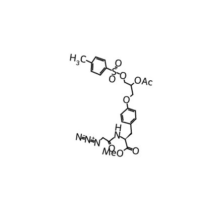 COC(=O)[C@H](Cc1ccc(OCC(COS(=O)(=O)c2ccc(C)cc2)OC(C)=O)cc1)NC(=O)CN=[N+]=[N-]